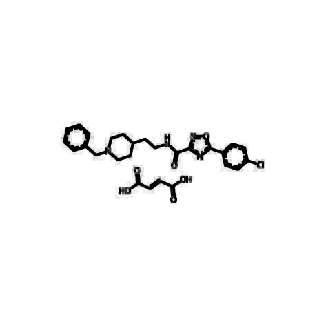 O=C(NCCC1CCN(Cc2ccccc2)CC1)c1noc(-c2ccc(Cl)cc2)n1.O=C(O)C=CC(=O)O